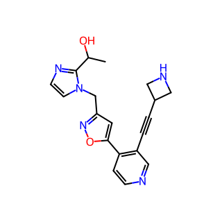 CC(O)c1nccn1Cc1cc(-c2ccncc2C#CC2CNC2)on1